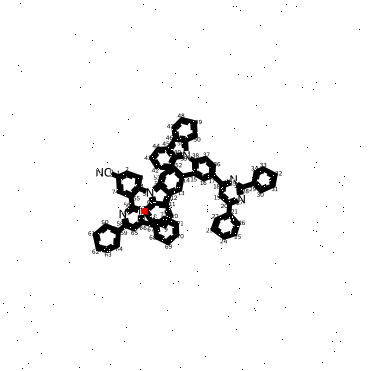 N#Cc1ccc(-n2c3ccccc3c3cc(-c4cc(-c5cc(-c6ccccc6)nc(-c6ccccc6)n5)ccc4-n4c5ccccc5c5ccccc54)ccc32)c(-c2nc(-c3ccccc3)cc(-c3ccccc3)n2)c1